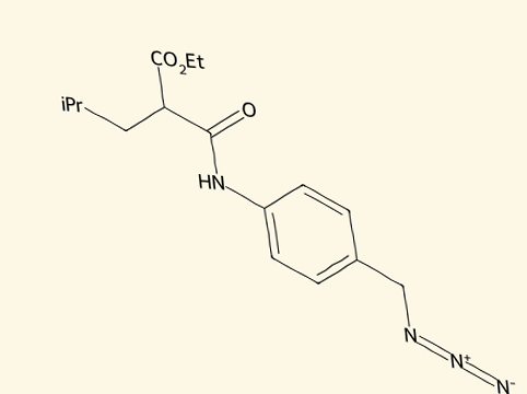 CCOC(=O)C(CC(C)C)C(=O)Nc1ccc(CN=[N+]=[N-])cc1